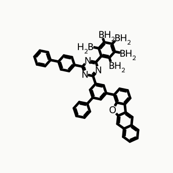 Bc1c(B)c(B)c(-c2nc(-c3ccc(-c4ccccc4)cc3)nc(-c3cc(-c4ccccc4)cc(-c4cccc5c4oc4cc6ccccc6cc45)c3)n2)c(B)c1B